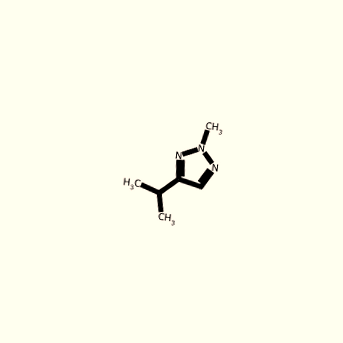 CC(C)c1cnn(C)n1